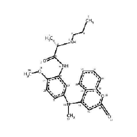 CCCN[C@@H](C)C(=O)Nc1cc(N(C)c2cc(=O)oc3ccccc23)ccc1OC